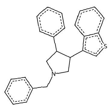 c1ccc(CN2CC(c3ccccc3)C(c3csc4ccccc34)C2)cc1